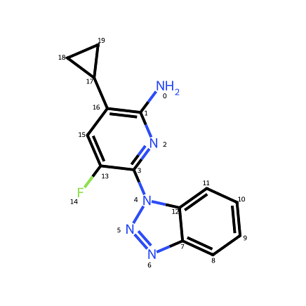 Nc1nc(-n2nnc3ccccc32)c(F)cc1C1CC1